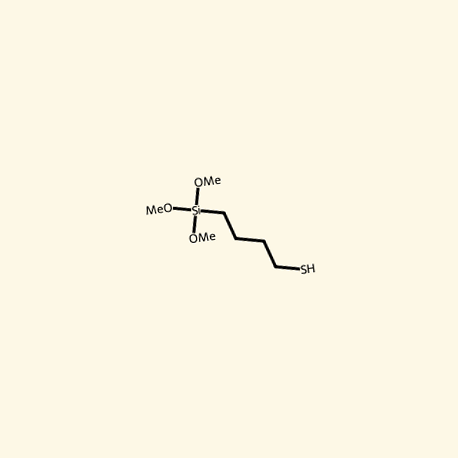 CO[Si](CCCCS)(OC)OC